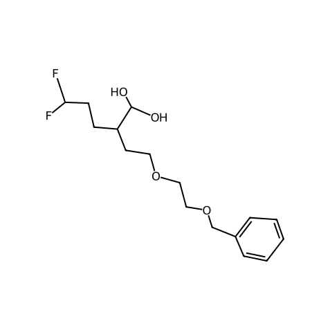 OC(O)C(CCOCCOCc1ccccc1)CCC(F)F